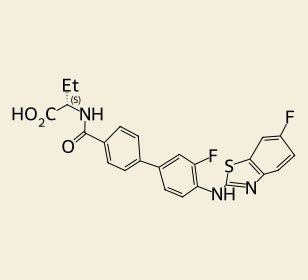 CC[C@H](NC(=O)c1ccc(-c2ccc(Nc3nc4ccc(F)cc4s3)c(F)c2)cc1)C(=O)O